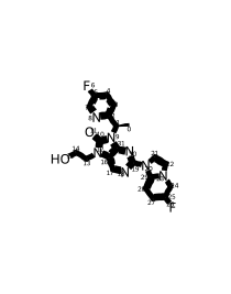 C[C@H](c1ccc(F)cn1)n1c(=O)n(CCO)c2cnc(N3C=CN4CC(F)=CC=C43)nc21